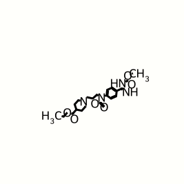 CCOC(=O)C1CCN(CC2CN(c3ccc(C(=N)NC(=O)OC)cc3)C(=O)O2)CC1